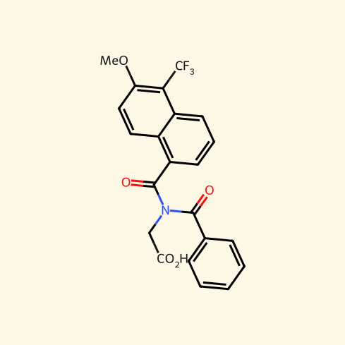 COc1ccc2c(C(=O)N(CC(=O)O)C(=O)c3ccccc3)cccc2c1C(F)(F)F